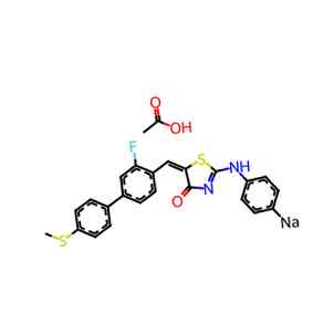 CC(=O)O.CSc1ccc(-c2ccc(/C=C3/SC(Nc4cc[c]([Na])cc4)=NC3=O)c(F)c2)cc1